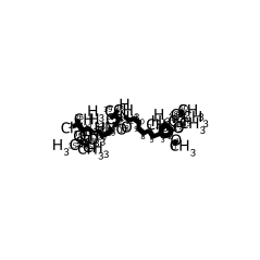 COc1cc(/C=C(C)/C=C\C=C/C(=O)N[C@H](C(=O)N/C=C\C[C@H](C/C=C(\C)Cl)O[Si](C)(C)C(C)(C)C)C(C)(C)C)ccc1O[Si](C)(C)C(C)(C)C